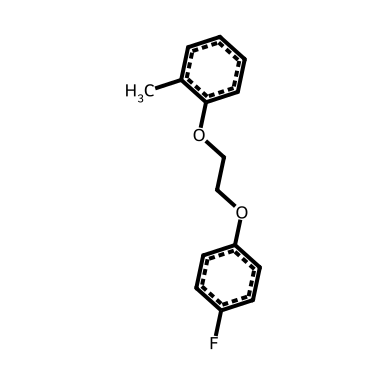 Cc1ccccc1OCCOc1ccc(F)cc1